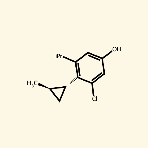 CC(C)c1cc(O)cc(Cl)c1[C@@H]1C[C@H]1C